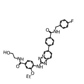 CCOc1cc(C(=O)NCCO)ccc1Nc1nc2ccc(-c3ccc(C(=O)NCc4ccc(F)cc4)cc3)cn2n1